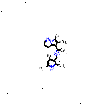 C=C1NC(C)=CC(CC)=C1CNC(=C)c1c(C)c(C(C)=O)n2ncccc12